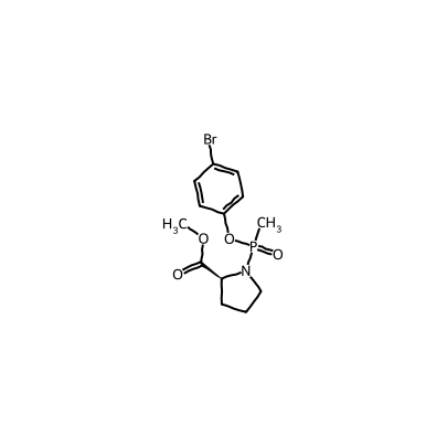 COC(=O)[C@@H]1CCCN1P(C)(=O)Oc1ccc(Br)cc1